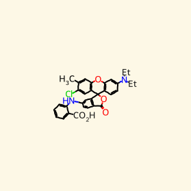 CCN(CC)c1ccc2c(c1)Oc1cc(C)c(Cl)cc1C21OC(=O)c2ccc(Nc3ccccc3C(=O)O)cc21